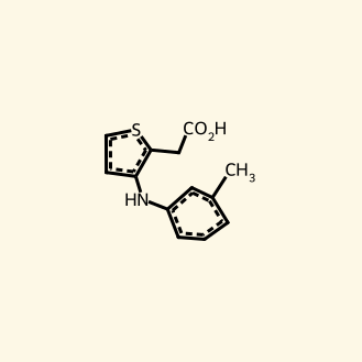 Cc1cccc(Nc2ccsc2CC(=O)O)c1